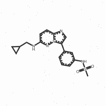 CS(=O)(=O)Nc1cccc(-c2cnc3ccc(NCC4CC4)nn23)c1